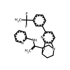 C=C(Nc1ccccn1)N1c2nc(-c3cccc(C(C)(F)F)c3)ccc2N2CCC1CC2